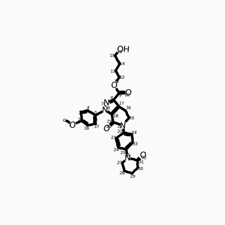 COc1ccc(-n2nc(C(=O)OCCCCO)c3c2C(=O)N(c2ccc(N4CCCCC4=O)cc2)CC3)cc1